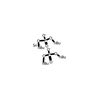 CCCCOP(=O)([O-])OCCCC.CCCCOP(=O)([O-])OCCCC.[Sn+2]